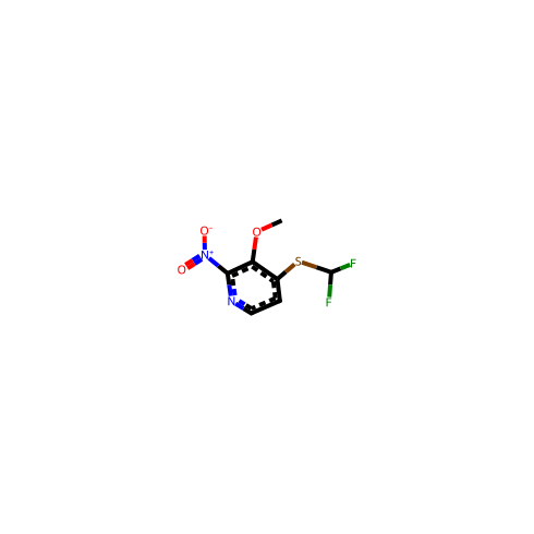 COc1c(SC(F)F)ccnc1[N+](=O)[O-]